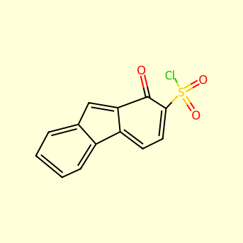 O=C1C2=Cc3ccccc3C2=CC=C1S(=O)(=O)Cl